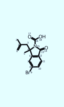 C=C(C)CC1(C)c2cc(Br)ccc2C(=O)N1C(=O)O